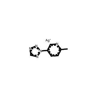 Cc1ccc(-n2ncnn2)cn1.[Ag+]